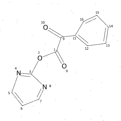 O=C(Oc1ncccn1)C(=O)c1ccccc1